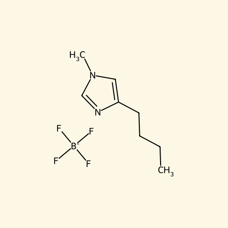 CCCCc1cn(C)cn1.F[B-](F)(F)F